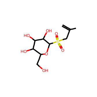 C=C(C)CS(=O)(=O)C1OC(CO)C(O)C(O)C1O